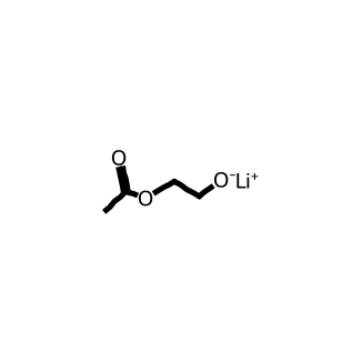 CC(=O)OCC[O-].[Li+]